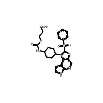 CC(=O)NCCOC(=O)NC1CCC(n2c(S(=O)(=O)c3ccccc3)nc3cnc4[nH]ccc4c32)CC1